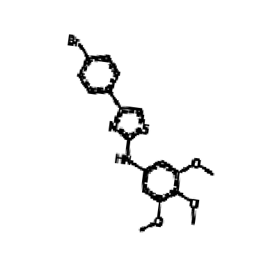 COc1cc(Nc2nc(-c3ccc(Br)cc3)cs2)cc(OC)c1OC